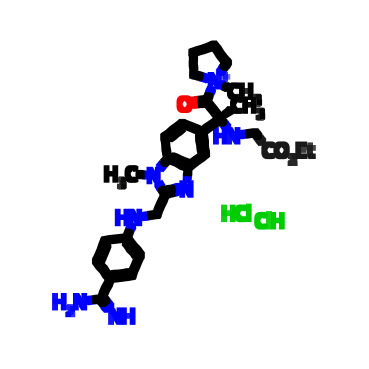 CCOC(=O)CN[C@@](C)(C(=O)[N+]1(C)CCCC1)c1ccc2c(c1)nc(CNc1ccc(C(=N)N)cc1)n2C.Cl.Cl